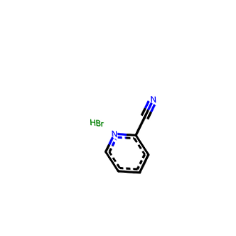 Br.N#Cc1ccccn1